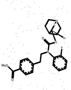 COC(=O)c1ccc(CCN(C(=O)O[C@H]2CN3CCC2CC3)c2ccccc2F)cc1